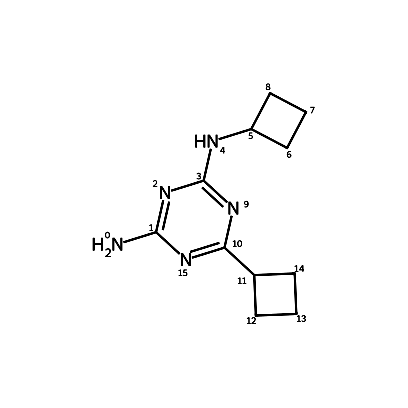 Nc1nc(NC2CCC2)nc(C2CCC2)n1